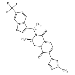 Cc1cn(-c2ccc3n(c2=O)C[C@@H](C)N([C@@H](C)c2coc4cc(C(F)(F)F)ccc24)C3=O)cn1